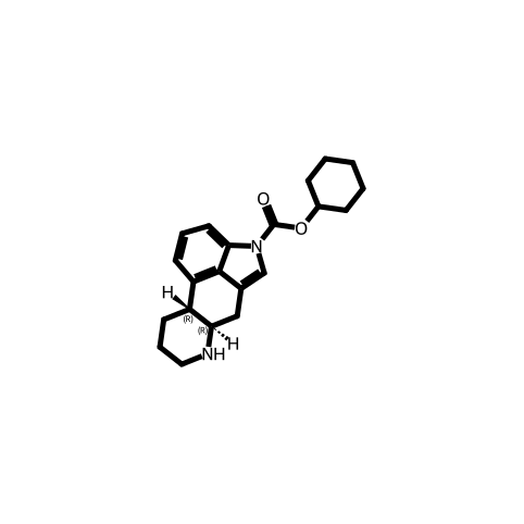 O=C(OC1CCCCC1)n1cc2c3c(cccc31)[C@H]1CCCN[C@@H]1C2